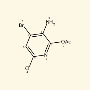 CC(=O)Oc1nc(Cl)cc(Br)c1N